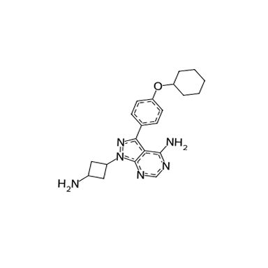 Nc1ncnc2c1c(-c1ccc(OC3CCCCC3)cc1)nn2C1CC(N)C1